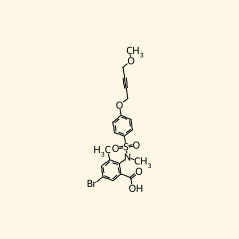 COCC#CCOc1ccc(S(=O)(=O)N(C)c2c(C)cc(Br)cc2C(=O)O)cc1